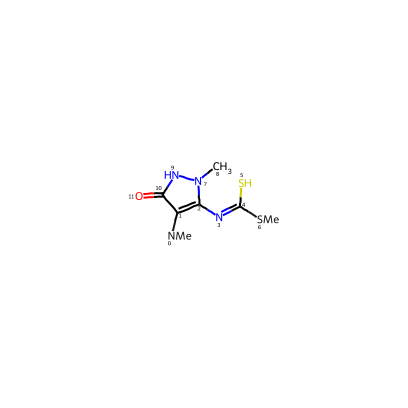 CNc1c(/N=C(\S)SC)n(C)[nH]c1=O